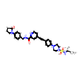 CC(C)[C@@H](NS(=O)(=O)N1CCN(c2ccc(C#Cc3ccnc(C(=O)NCc4ccc(N5CCCC5=O)cc4)c3)cc2)CC1)C(=O)O